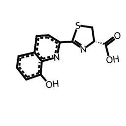 O=C(O)[C@H]1CSC(c2ccc3cccc(O)c3n2)=N1